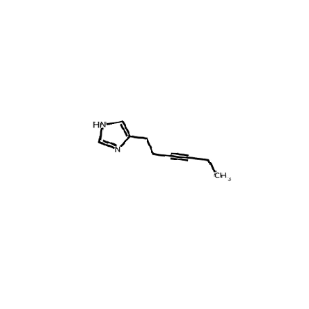 CCC#CCCc1c[nH]cn1